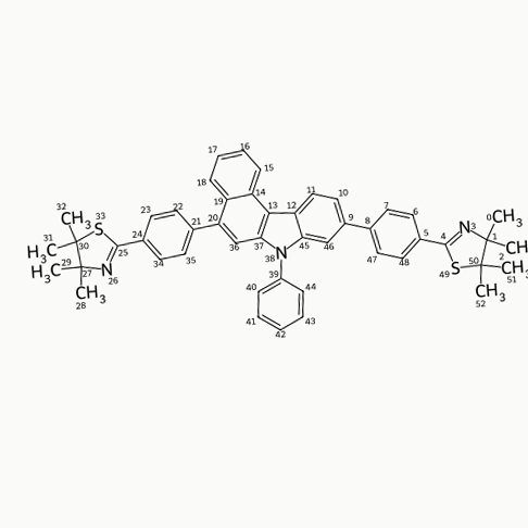 CC1(C)N=C(c2ccc(-c3ccc4c5c6ccccc6c(-c6ccc(C7=NC(C)(C)C(C)(C)S7)cc6)cc5n(-c5ccccc5)c4c3)cc2)SC1(C)C